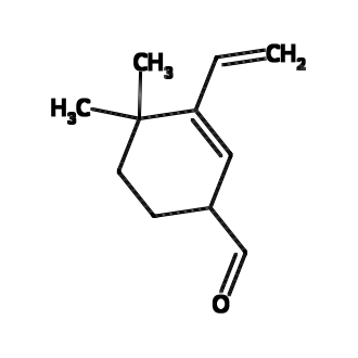 C=CC1=CC(C=O)CCC1(C)C